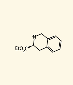 CCOC(=O)[C@@H]1Cc2ccccc2C[N]1